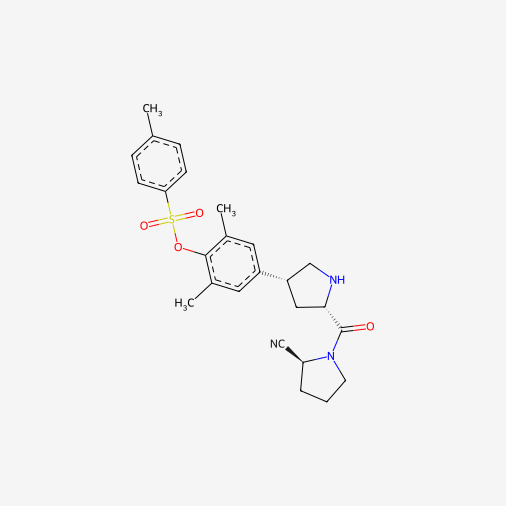 Cc1ccc(S(=O)(=O)Oc2c(C)cc([C@@H]3CN[C@H](C(=O)N4CCC[C@H]4C#N)C3)cc2C)cc1